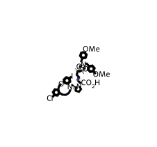 COc1ccc(CN(Cc2ccc(OC)cc2)S(=O)(=O)[C@H](C)[C@@H](C)C/C=C/C(C(=O)O)N2CCC[C@H]2CN2CCCCc3cc(Cl)ccc3COc3ccc(I)cc32)cc1